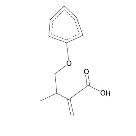 C=C(C(=O)O)C(C)COc1ccccc1